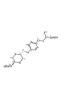 CCCCCCC(F)COc1ccc(CC[C@H]2CC[C@H](CCCCC)CC2)nc1